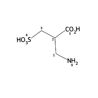 NCC(CS(=O)(=O)O)C(=O)O